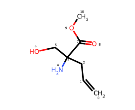 C=CCC(N)(CO)C(=O)OC